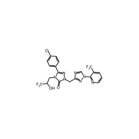 O=c1n(Cc2ncn(-c3ncccc3C(F)(F)F)n2)nc(-c2ccc(Cl)cc2)n1CC(O)C(F)(F)F